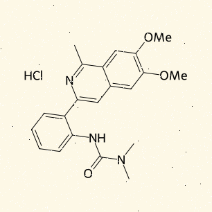 COc1cc2cc(-c3ccccc3NC(=O)N(C)C)nc(C)c2cc1OC.Cl